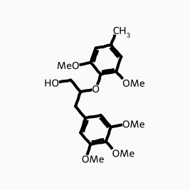 COc1cc(CC(CO)Oc2c(OC)cc(C)cc2OC)cc(OC)c1OC